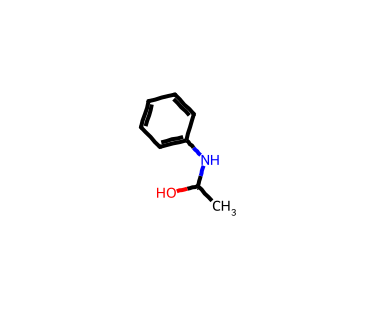 C[C](O)Nc1ccccc1